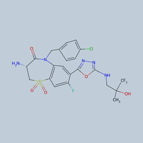 CC(O)(CNc1nnc(-c2cc3c(cc2F)S(=O)(=O)C[C@H](N)C(=O)N3Cc2ccc(Cl)cc2)o1)C(F)(F)F